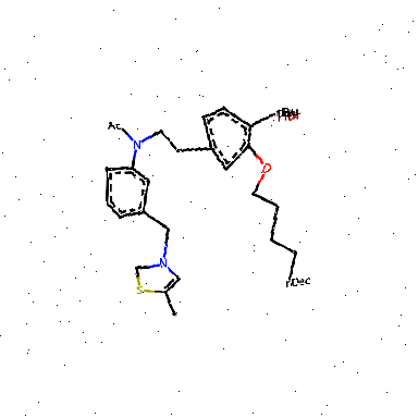 Br.CCCCCCCCCCCCCCOc1cc(CCN(C(C)=O)c2cccc(CN3C=C(C)SC3)c2)ccc1C(C)(C)C